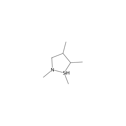 CC1CN(C)[SiH](C)C1C